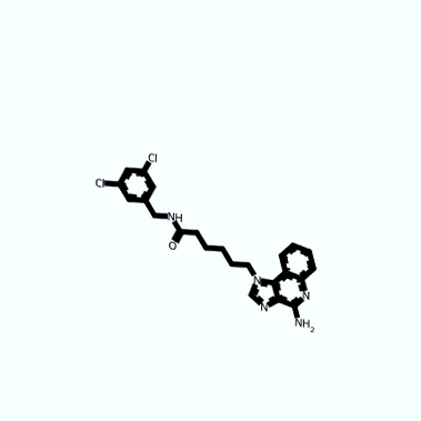 Nc1nc2ccccc2c2c1ncn2CCCCCC(=O)NCc1cc(Cl)cc(Cl)c1